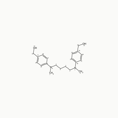 CN(CCCCN(C)c1ccc(CO)cc1)c1ccc(CO)cc1